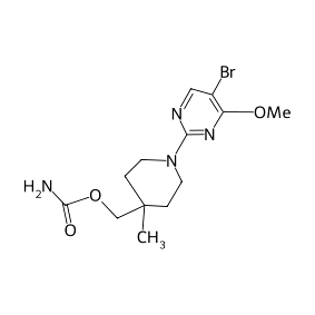 COc1nc(N2CCC(C)(COC(N)=O)CC2)ncc1Br